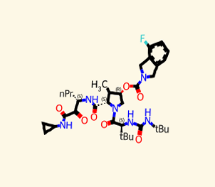 CCC[C@H](NC(=O)[C@@H]1C(C)[C@@H](OC(=O)N2Cc3cccc(F)c3C2)CN1C(=O)[C@@H](NC(=O)NC(C)(C)C)C(C)(C)C)C(=O)C(=O)NC1CC1